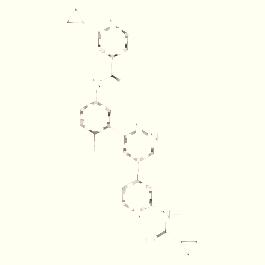 Cc1ccc(NC(=O)c2ccnc(C3CC3)c2)cc1-c1cc(-c2ccnc(NC(=O)C3CC3)c2)cnn1